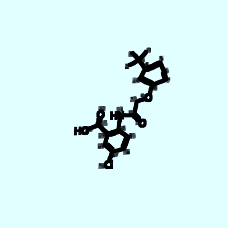 CC(C)(C)c1cccc(OCC(=O)Nc2ccc(Cl)cc2C(=O)O)c1